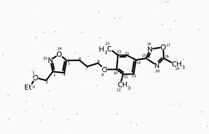 CCOCc1cc(CCCOc2c(C)cc(-c3noc(C)n3)cc2C)on1